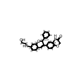 O=C1COc2ccc(C3=Cc4ccc(NCCO)cc4OC3c3ccccc3)cc2N1